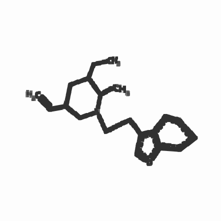 C=CC1CC(CC)C(C)N(CCc2coc3ccccc23)C1